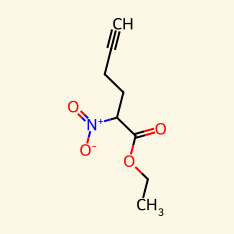 C#CCCC(C(=O)OCC)[N+](=O)[O-]